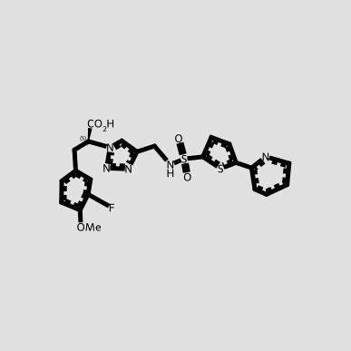 COc1ccc(C[C@@H](C(=O)O)n2cc(CNS(=O)(=O)c3ccc(-c4ccccn4)s3)nn2)cc1F